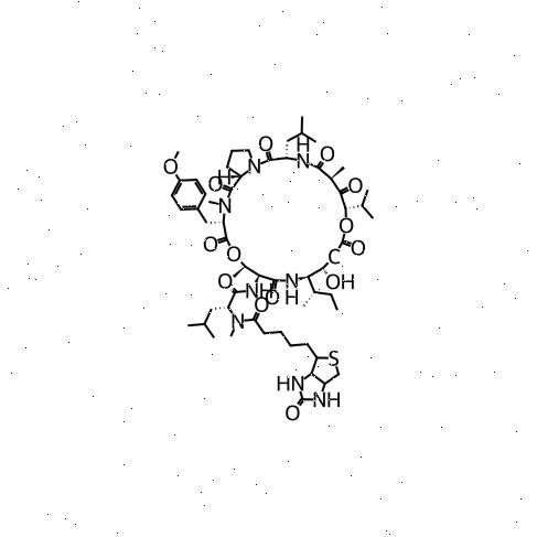 CC[C@H](C)[C@H]1NC(=O)[C@@H](NC(=O)[C@@H](CC(C)C)N(C)C(=O)CCCCC2SCC3NC(=O)NC32)[C@@H](C)OC(=O)[C@H](Cc2ccc(OC)cc2)N(C)C(=O)[C@@H]2CCCN2C(=O)[C@H](CC(C)C)NC(=O)[C@@H](C)C(=O)[C@H](C(C)C)OC(=O)C[C@@H]1O